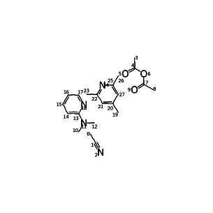 CC#N.CC(=O)OC(C)=O.CN(C)c1ccccn1.Cc1cc(C)nc(C)c1